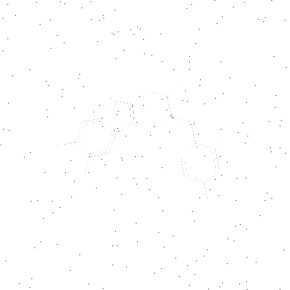 Cc1cc2nc(SC(C)C(=O)Nc3ncc(Cl)cc3Cl)[nH]c2cc1C